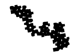 C#Cc1c(F)ccc2cc(O)cc(-c3ncc4c(N5C[C@H]6CC[C@@H](C5)N6)nc(OC[C@@]56CC[C@@H](COC(=O)N7CCC(CC(=O)Nc8cccc9c8C(=O)N(C8CCC(=O)NC8=O)C9=O)CC7)N5CC(=C)C6)nc4c3F)c12